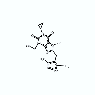 Cc1n[nH]c(C)c1Cc1sc2c(c1Br)c(=O)n(C1CC1)c(=O)n2CC(C)C